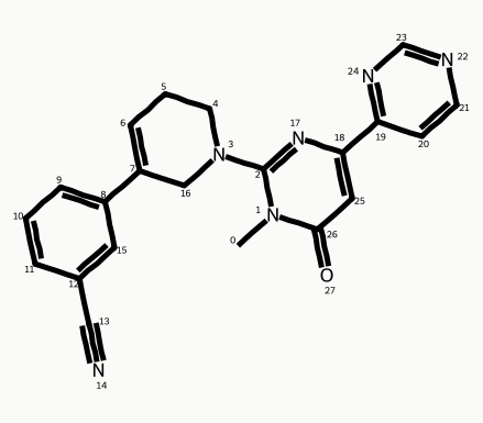 Cn1c(N2CCC=C(c3cccc(C#N)c3)C2)nc(-c2ccncn2)cc1=O